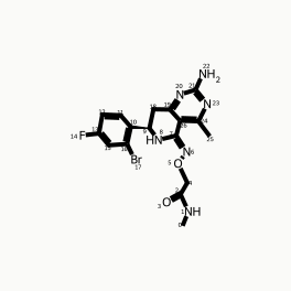 CNC(=O)CO/N=C1\N[C@@H](c2ccc(F)cc2Br)Cc2nc(N)nc(C)c21